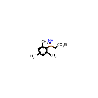 CCOC(=O)CS(=N)c1c(C)cc(C)cc1C